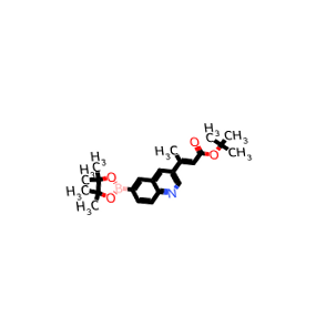 C/C(=C\C(=O)OC(C)(C)C)c1cnc2ccc(B3OC(C)(C)C(C)(C)O3)cc2c1